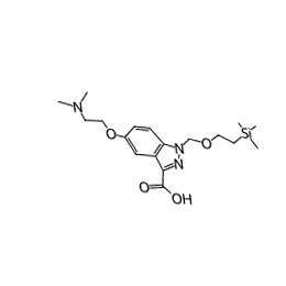 CN(C)CCOc1ccc2c(c1)c(C(=O)O)nn2COCC[Si](C)(C)C